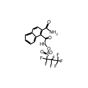 NC(=O)c1ccc2ccccc2c1C(=O)NOS(=O)(=O)C(F)(F)C(F)(F)C(F)(F)F